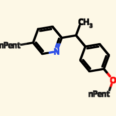 CCCCCOc1ccc(C(C)c2ccc(CCCCC)cn2)cc1